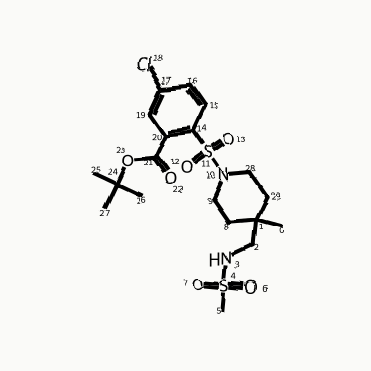 CC1(CNS(C)(=O)=O)CCN(S(=O)(=O)c2ccc(Cl)cc2C(=O)OC(C)(C)C)CC1